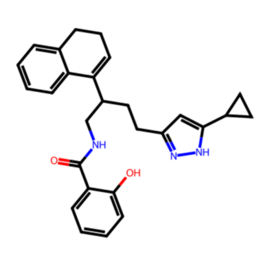 O=C(NCC(CCc1cc(C2CC2)[nH]n1)C1=CCCc2ccccc21)c1ccccc1O